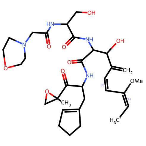 C=C(/C=C\C(=C/C)OC)C(O)C(NC(=O)C(CO)NC(=O)CN1CCOCC1)C(=O)NC(CC1=CCCC1)C(=O)C1(C)CO1